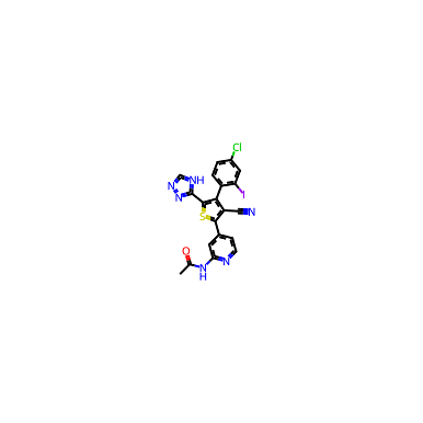 CC(=O)Nc1cc(-c2sc(-c3nnc[nH]3)c(-c3ccc(Cl)cc3I)c2C#N)ccn1